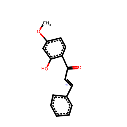 COc1ccc(C(=O)/C=C/c2ccccc2)c(O)c1